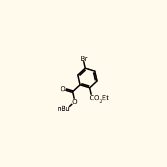 CCCCOC(=O)c1cc(Br)ccc1C(=O)OCC